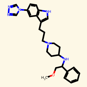 COCC(NC1CCN(CCCc2c[nH]c3ccc(-n4cnnc4)cc23)CC1)c1ccccc1